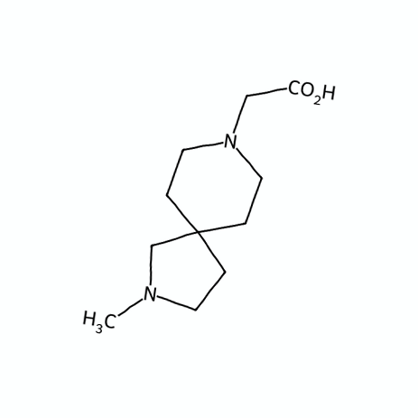 CN1CCC2(CCN(CC(=O)O)CC2)C1